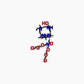 CCC1=C(C)c2cc3[nH]c(cc4nc(c(C)c5cc(C)c(cc1n2)[nH]5)[C@@H](CCC(=O)N(CCOCCOCCOC)CCOCCOCCOC)[C@@H]4C)c(C)c3CO